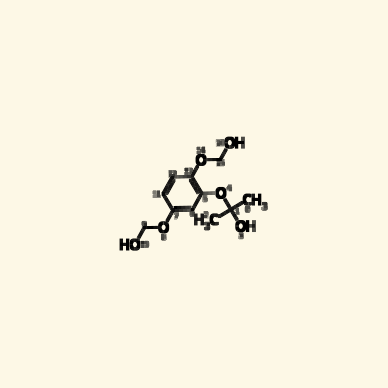 CC(C)(O)Oc1cc(OCO)ccc1OCO